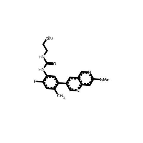 CNc1cc2ncc(-c3cc(NC(=O)NCCC(C)(C)C)c(F)cc3C)cc2cn1